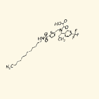 CCCCCCCCCCCCNS(=O)(=O)c1ccc(CN(C(=O)C(=O)O)C(CC)c2ccc(C(F)(F)F)cc2)s1